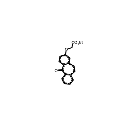 CCOC(=O)COc1ccc2c(=O)c3ccccc3ccc2c1